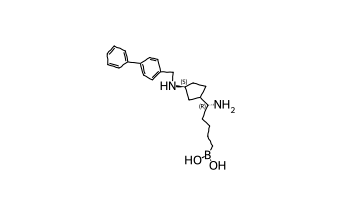 N[C@H](CCCCB(O)O)C1CC[C@H](NCc2ccc(-c3ccccc3)cc2)C1